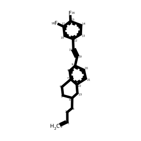 C=CCCC1CCc2cc(C#Cc3ccc(F)c(F)c3)ccc2C1